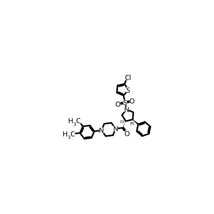 Cc1ccc(N2CCN(C(=O)[C@@H]3CN(S(=O)(=O)c4ccc(Cl)s4)C[C@H]3c3ccccc3)CC2)cc1C